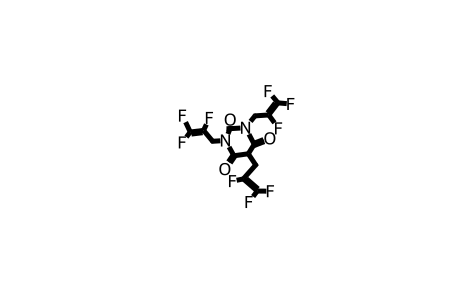 O=C1C(CC(F)=C(F)F)C(=O)N(CC(F)=C(F)F)C(=O)N1CC(F)=C(F)F